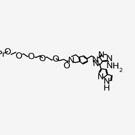 CCCOCCOCCOCCOCCOCCC(=O)N1CCc2cc(Cn3nc(-c4cnc5[nH]ccc5c4)c4c(N)ncnc43)ccc2C1